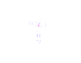 Nc1ccccc1NC(=O)c1ccc(Cn2ccc3cnccc32)cc1